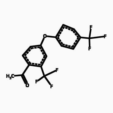 CC(=O)c1ccc(Oc2ccc(C(F)(F)F)cc2)cc1C(F)(F)F